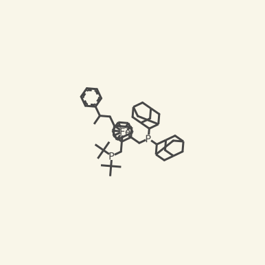 CC(C[C]12[CH]3[C]4(CP(C5C6CC7CC(C6)CC5C7)C5C6CC7CC(C6)CC5C7)[C]5(CP(C(C)(C)C)C(C)(C)C)[CH]1[Fe]32451678[CH]2[CH]1[CH]6[CH]7[CH]28)c1ccccc1